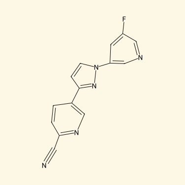 N#Cc1ccc(-c2ccn(-c3cncc(F)c3)n2)cn1